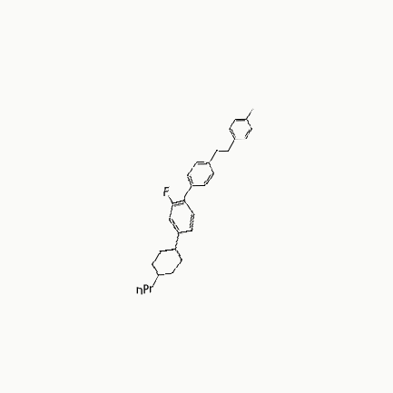 CCCC1CCC(c2ccc(-c3ccc(CCc4ccc(C)cc4)cc3)c(F)c2)CC1